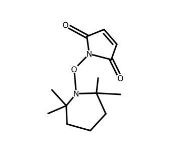 CC1(C)CCCC(C)(C)N1ON1C(=O)C=CC1=O